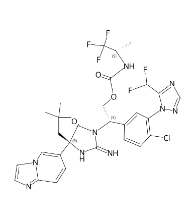 C[C@H](NC(=O)OC[C@H](c1ccc(Cl)c(-n2ncnc2C(F)F)c1)N1C(=N)N[C@](CC(C)(C)C)(c2ccc3nccn3c2)C1=O)C(F)(F)F